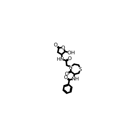 O=C(CN1CCSCC(NC(=O)c2ccccc2)C1=O)NC1CC(=O)OC1O